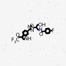 O=C(/N=C/C(CO)c1nc(-c2ccc3c(C(=O)C(F)(F)F)c[nH]c3c2)no1)c1ccc(F)cc1